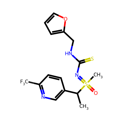 CC(c1ccc(C(F)(F)F)nc1)S(C)(=O)=NC(=S)NCc1ccco1